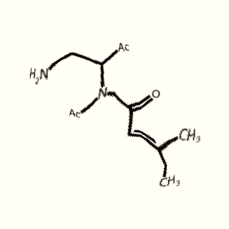 CC(=O)C(CN)N(C(C)=O)C(=O)C=C(C)C